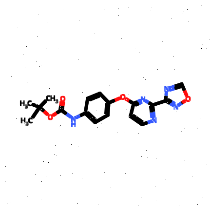 CC(C)(C)OC(=O)Nc1ccc(Oc2ccnc(-c3ncon3)n2)cc1